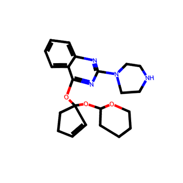 C1=CC(Oc2nc(N3CCNCC3)nc3ccccc23)(OC2CCCCO2)CC1